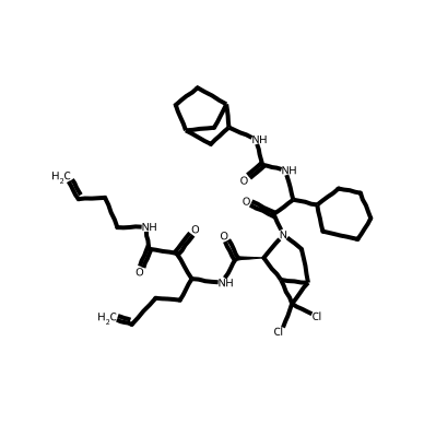 C=CCCNC(=O)C(=O)C(CCC=C)NC(=O)[C@@H]1C2C(CN1C(=O)C(NC(=O)NC1CC3CCC1C3)C1CCCCC1)C2(Cl)Cl